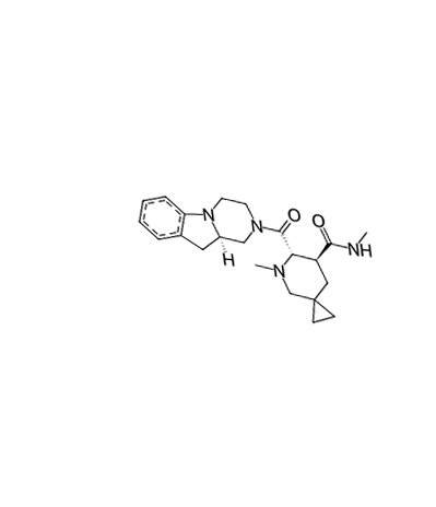 CNC(=O)[C@H]1CC2(CC2)CN(C)[C@@H]1C(=O)N1CCN2c3ccccc3C[C@@H]2C1